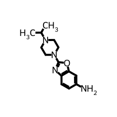 CC(C)N1CCN(c2nc3ccc(N)cc3o2)CC1